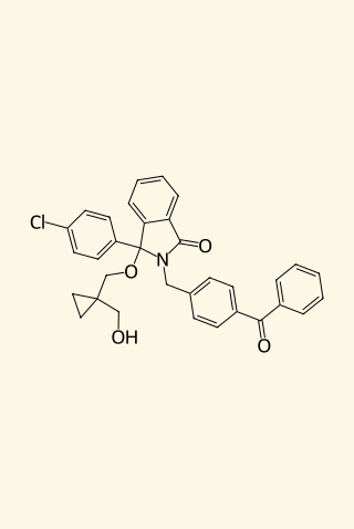 O=C(c1ccccc1)c1ccc(CN2C(=O)c3ccccc3C2(OCC2(CO)CC2)c2ccc(Cl)cc2)cc1